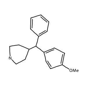 COc1ccc(C(c2ccccc2)C2CC[N]CC2)cc1